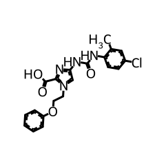 Cc1cc(Cl)ccc1NC(=O)Nc1cn(CCOc2ccccc2)c(C(=O)O)n1